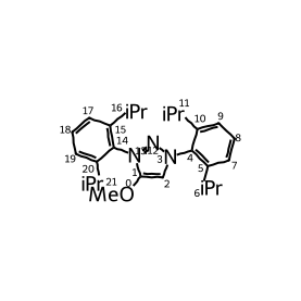 COc1cn(-c2c(C(C)C)cccc2C(C)C)n[n+]1-c1c(C(C)C)cccc1C(C)C